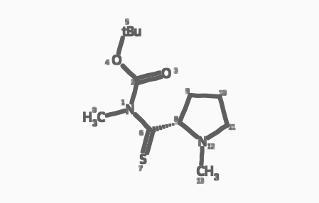 CN(C(=O)OC(C)(C)C)C(=S)[C@@H]1CCCN1C